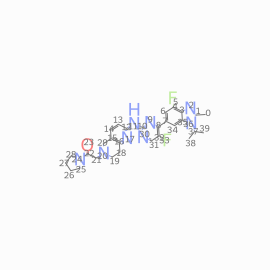 Cc1nc2c(F)cc(-c3nc(Nc4ccc5c(n4)CCN(CC(=O)N4CCCC4)C5)ncc3F)cc2n1C(C)C